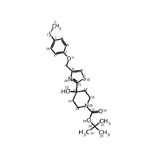 CSc1ccc(OCc2csc(C3(O)CCN(C(=O)OC(C)(C)C)CC3)n2)cc1